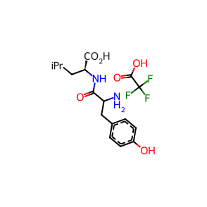 CC(C)C[C@H](NC(=O)C(N)Cc1ccc(O)cc1)C(=O)O.O=C(O)C(F)(F)F